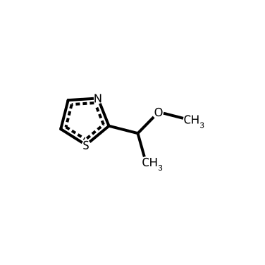 COC(C)c1nccs1